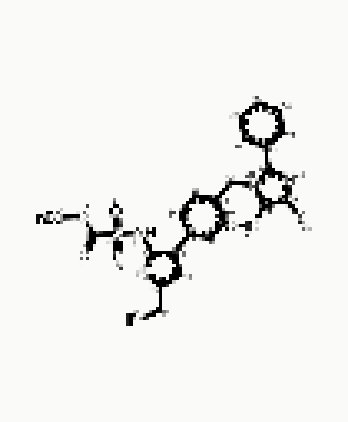 CCCCOC(=O)S(=O)(=O)Nc1sc(CC(C)C)cc1-c1ccc(Cn2c(-c3ccccc3)nc(Cl)c2C=O)cc1